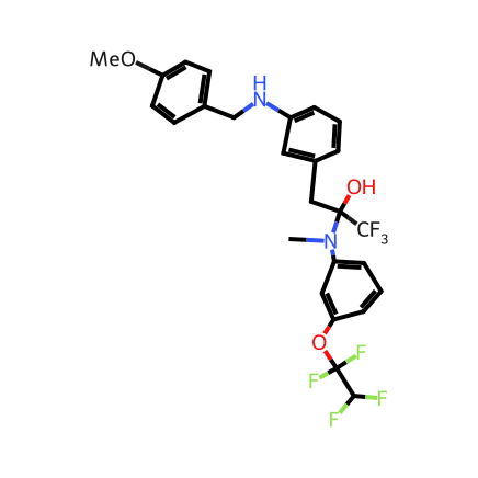 COc1ccc(CNc2cccc(CC(O)(N(C)c3cccc(OC(F)(F)C(F)F)c3)C(F)(F)F)c2)cc1